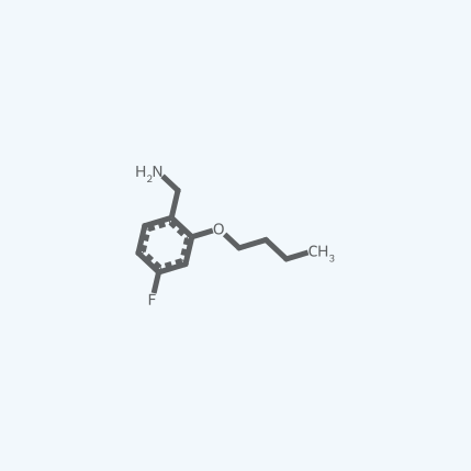 CCCCOc1cc(F)ccc1CN